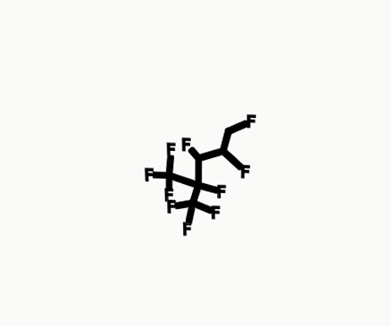 FCC(F)C(F)C(F)(C(F)(F)F)C(F)(F)F